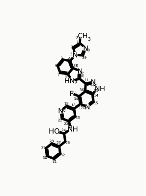 Cc1cn(-c2cccc3[nH]c(-c4n[nH]c5cnc(-c6cncc(NC(O)Cc7ccccc7)c6)c(F)c45)nc23)cn1